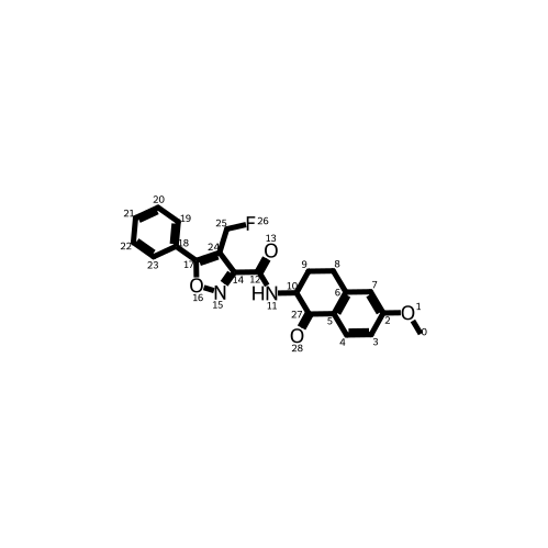 COc1ccc2c(c1)CCC(NC(=O)c1noc(-c3ccccc3)c1CF)C2=O